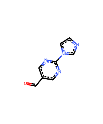 O=Cc1cnc(-n2ccnc2)nc1